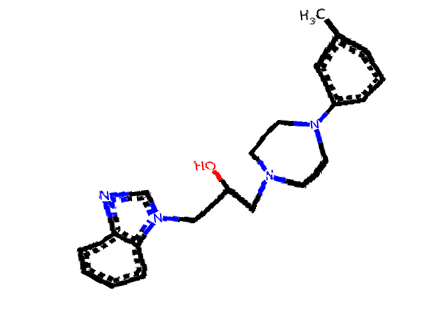 Cc1cccc(N2CCN(CC(O)Cn3cnc4ccccc43)CC2)c1